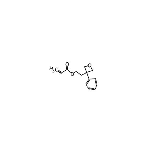 C=CC(=O)OCCC1(c2ccccc2)COC1